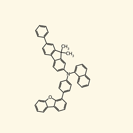 CC1(C)c2cc(-c3ccccc3)ccc2-c2ccc(N(c3ccc(-c4cccc5c4oc4ccccc45)cc3)c3cccc4ccccc34)cc21